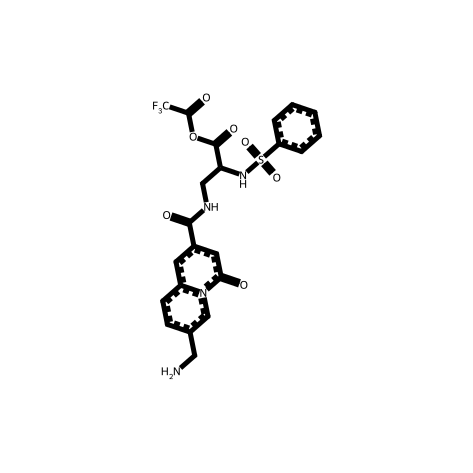 NCc1ccc2cc(C(=O)NCC(NS(=O)(=O)c3ccccc3)C(=O)OC(=O)C(F)(F)F)cc(=O)n2c1